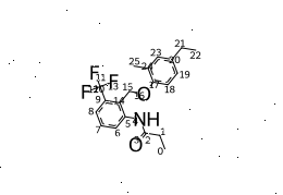 CCC(=O)Nc1cccc(C(F)(F)F)c1COc1ccc(CC)cc1C